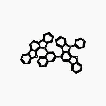 c1ccc(-n2c3ccccc3c3c(-c4cc(-n5c6ccccc6c6ccc7c8ccccc8oc7c65)c5ccccc5c4)cc4c5ccccc5oc4c32)cc1